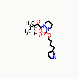 CCC(C)(C)C(=O)C(=O)N1CCCCN1C(=O)OCCCCc1cccnc1